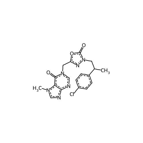 CC(Cn1nc(Cn2cnc3ncn(C)c3c2=O)oc1=O)c1ccc(Cl)cc1